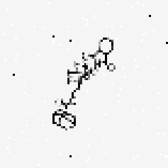 O=C1C2CCCCC2C(=O)N1OS(=O)(=O)C(F)(F)C(F)(F)CCOC(=O)C12CC3CC(CC(C3)C1)C2